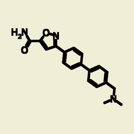 CN(C)Cc1ccc(-c2ccc(-c3cc(C(N)=O)on3)cc2)cc1